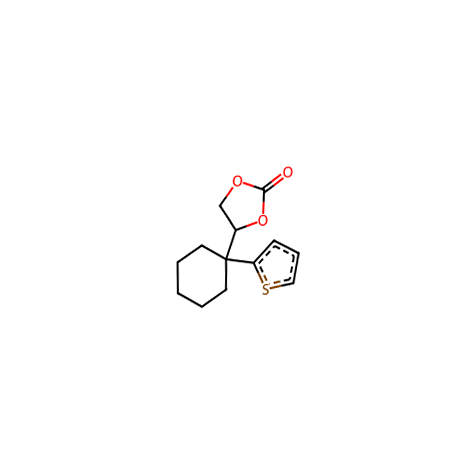 O=C1OCC(C2(c3cccs3)CCCCC2)O1